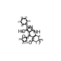 CC1(C)CC(=O)C2=C(C1)Nc1nn(-c3ccccc3)c(O)c1[C@@H]2c1ccco1